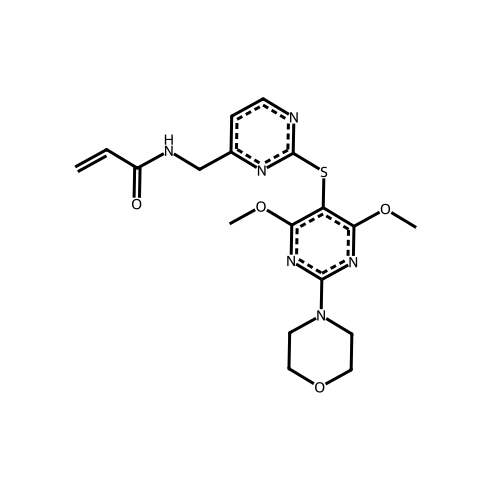 C=CC(=O)NCc1ccnc(Sc2c(OC)nc(N3CCOCC3)nc2OC)n1